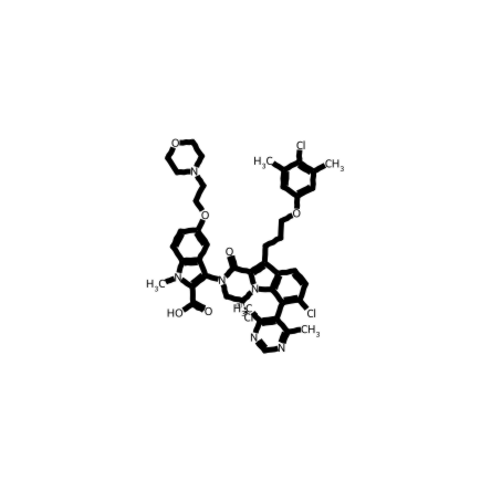 Cc1cc(OCCCc2c3n(c4c(-c5c(C)ncnc5C)c(Cl)ccc24)[C@H](C)CN(c2c(C(=O)O)n(C)c4ccc(OCCN5CCOCC5)cc24)C3=O)cc(C)c1Cl